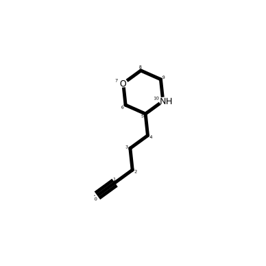 [C]#CCCCC1COCCN1